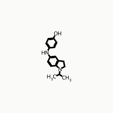 CC(C)N1CCc2cc(Nc3ccc(O)cc3)ccc21